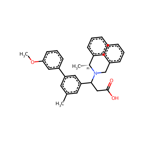 COc1cccc(-c2cc(C)cc(C(CC(=O)O)N(Cc3ccccc3)[C@H](C)c3ccccc3)c2)c1